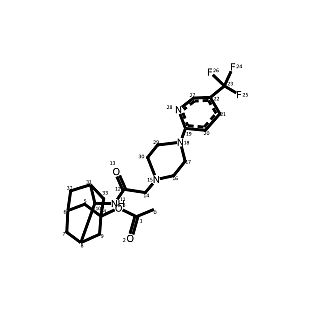 CC(=O)OC12CC3CC(C1)C(NC(=O)CN1CCN(c4ccc(C(F)(F)F)cn4)CC1)C(C3)C2